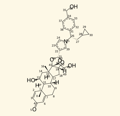 C[C@]12C=CC(=O)C=C1CC[C@@H]1[C@@H]2[C@@H](O)C[C@@]2(C)[C@H]1C[C@H]1O[C@@H](c3ccn([C@@H](CC4CC4)c4ccc(CO)cc4)c3)O[C@]12C(=O)CO